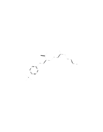 C=C(C)/C(=C\Cc1ccc(C(C)(C)C)cc1)CC/C=C(\C)CCC=C(C)C